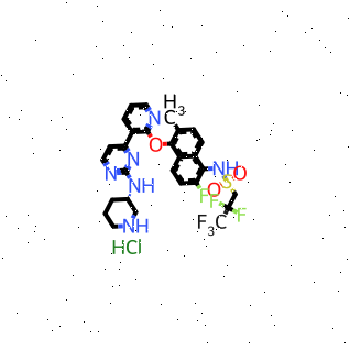 Cc1ccc2c(NS(=O)(=O)CC(F)(F)C(F)(F)F)c(F)ccc2c1Oc1ncccc1-c1ccnc(N[C@H]2CCCNC2)n1.Cl